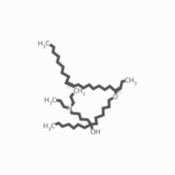 CC/C=C(\CCCCCCC/C=C\CCCCCCCC)OCCCCCCC(O)(CCCCCCC)CCCCN(CCC)CCC